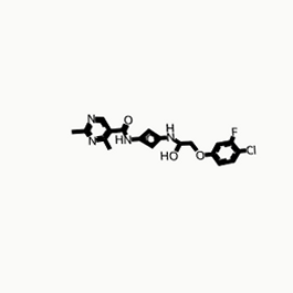 Cc1ncc(C(=O)NC23CC(NC(O)COc4ccc(Cl)c(F)c4)(C2)C3)c(C)n1